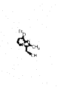 C#CCc1c(C)nc2c(OCC)cccn12